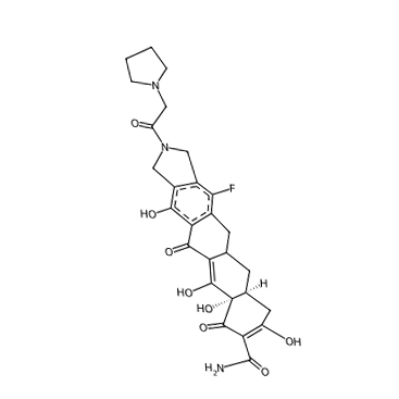 NC(=O)C1=C(O)C[C@@H]2CC3Cc4c(F)c5c(c(O)c4C(=O)C3=C(O)[C@]2(O)C1=O)CN(C(=O)CN1CCCC1)C5